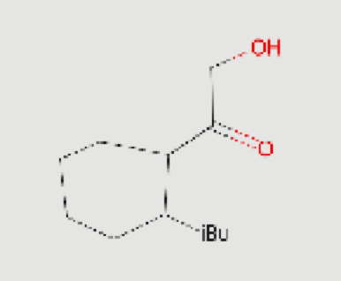 CCC(C)C1CCCCC1C(=O)CO